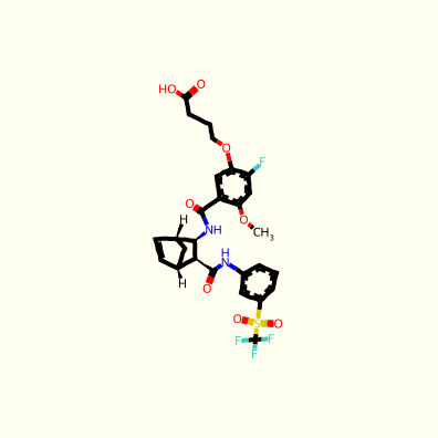 COc1cc(F)c(OCCCC(=O)O)cc1C(=O)N[C@H]1[C@@H](C(=O)Nc2cccc(S(=O)(=O)C(F)(F)F)c2)[C@@H]2C=C[C@H]1C2